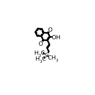 C[Si](C)(C)CC=CC1=C(O)C(=O)c2ccccc2C1=O